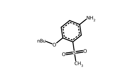 CCCCOc1ccc(N)cc1S(C)(=O)=O